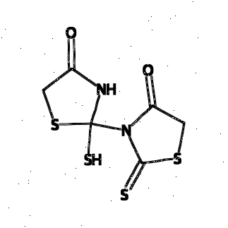 O=C1CSC(S)(N2C(=O)CSC2=S)N1